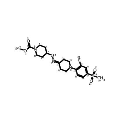 CC(C)OC(=O)N1CCC(ON=C2CCN(c3ccc(S(C)(=O)=O)cc3F)CC2)CC1